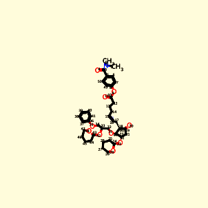 CN(C)C(=O)c1ccc(OC(=O)CCC/C=C\C[C@H]2C(=O)C[C@H](OC3CCCCO3)[C@H]2OCC(COc2ccccc2)OC2CCCCO2)cc1